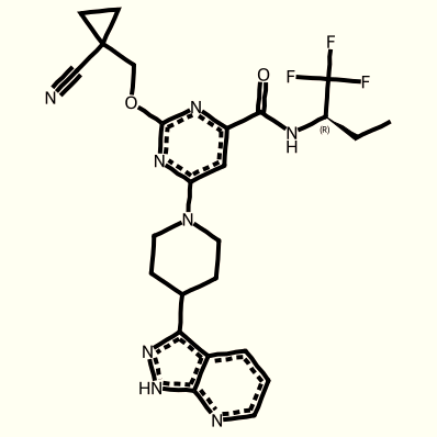 CC[C@@H](NC(=O)c1cc(N2CCC(c3n[nH]c4ncccc34)CC2)nc(OCC2(C#N)CC2)n1)C(F)(F)F